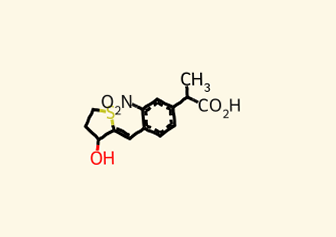 CC(C(=O)O)c1ccc(/C=C2\SCCC2O)c([N+](=O)[O-])c1